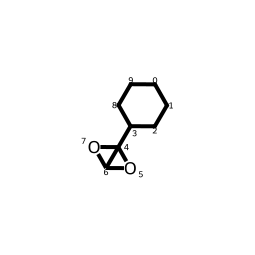 C1CCC(C23OC2O3)CC1